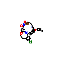 CCO[C@H]1/C=C/CCC/[SH](=O)=N\C(=O)c2ccc3c(c2)N(Cc2ccc(Cl)cc2CCCCO3)C[C@@H]2CC[C@H]21